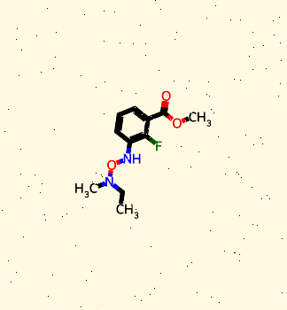 CCN(C)ONc1cccc(C(=O)OC)c1F